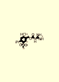 CC(C)c1ccc(COC(=O)NC(=N)N)cc1S(C)(=O)=O.Cl